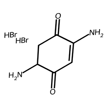 Br.Br.NC1=CC(=O)C(N)CC1=O